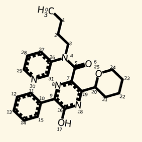 CCCCN(C(=O)c1nc(-c2ccccc2)c(O)nc1C1CCCCO1)c1cccnc1